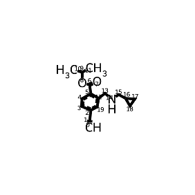 C#Cc1ccc(C(=O)OC(C)C)c(CNCC2CC2)c1